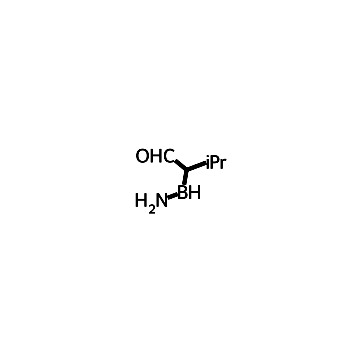 CC(C)C(BN)C=O